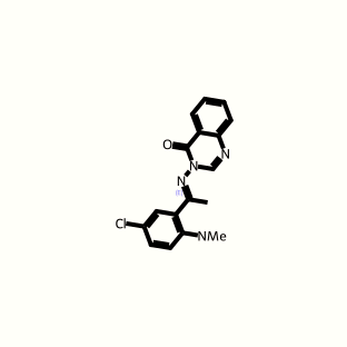 CNc1ccc(Cl)cc1/C(C)=N/n1cnc2ccccc2c1=O